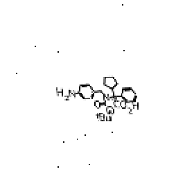 CC(C)(C)OC(=O)N(Cc1ccc(N)cc1)[C@](C(=O)O)(c1ccccc1)C1CCCC1